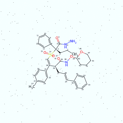 CCC[C@](C(=O)NN)(c1ccccc1)S(=O)(=O)/C=C(/c1ccc(C)cc1)[C@H](C/C=C/c1ccccc1)C(=O)NOC1CCCCO1